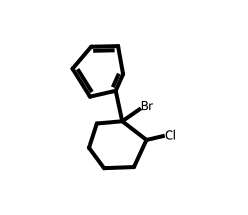 ClC1CCCCC1(Br)c1ccccc1